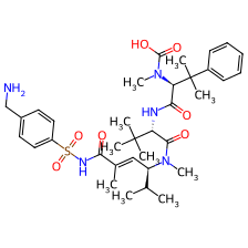 C/C(=C\[C@H](C(C)C)N(C)C(=O)[C@@H](NC(=O)[C@@H](N(C)C(=O)O)C(C)(C)c1ccccc1)C(C)(C)C)C(=O)NS(=O)(=O)c1ccc(CN)cc1